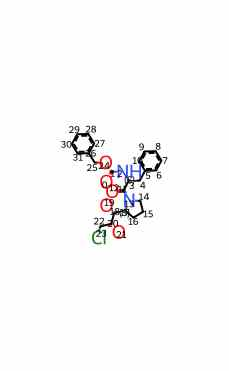 O=C(N[C@@H](Cc1ccccc1)C(=O)N1CCC[C@H]1C(=O)C(=O)CCl)OCc1ccccc1